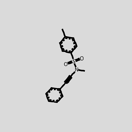 Cc1ccc(S(=O)(=O)N(C)C#Cc2ccccc2)cc1